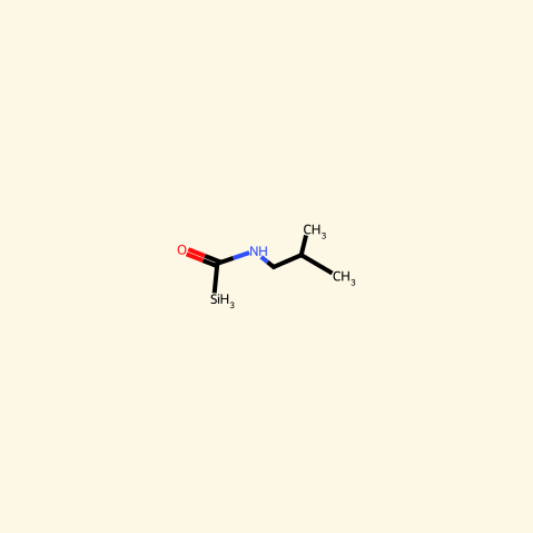 CC(C)CNC(=O)[SiH3]